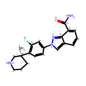 B[C@]1(c2ccc(-n3cc4cccc(C(N)=O)c4n3)cc2F)CCCNC1